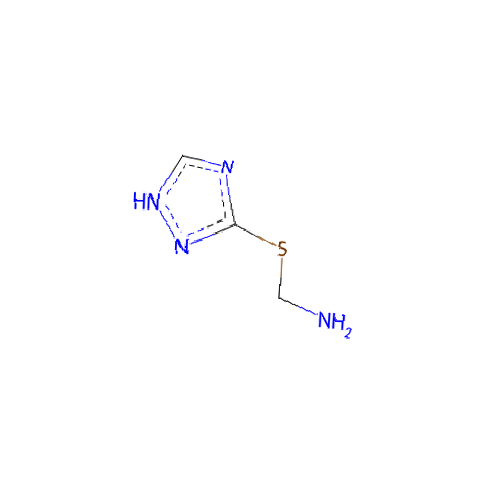 NCSc1nc[nH]n1